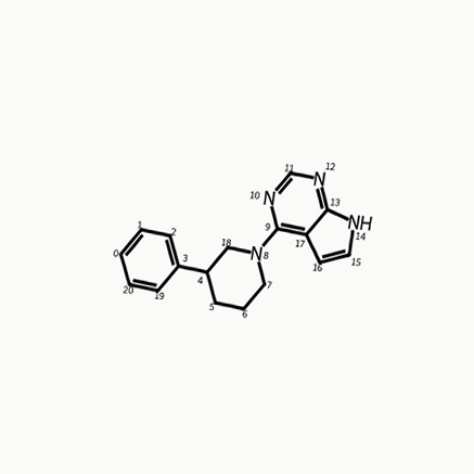 c1ccc(C2CCCN(c3ncnc4[nH]ccc34)C2)cc1